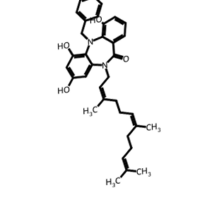 CC(C)=CCCC(C)=CCCC(C)=CCN1C(=O)c2cccc(O)c2N(Cc2ccccc2)c2c(O)cc(O)cc21